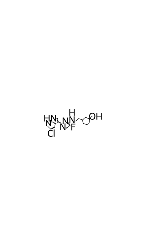 OC1CCCC(CCNc2nc(-c3c[nH]c4ncc(Cl)cc34)ncc2F)C1